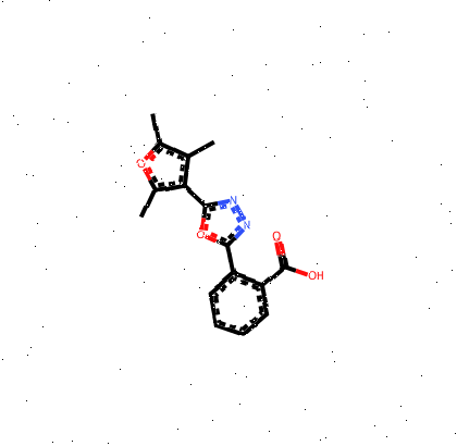 Cc1oc(C)c(-c2nnc(-c3ccccc3C(=O)O)o2)c1C